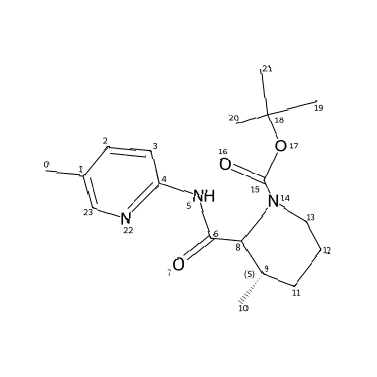 Cc1ccc(NC(=O)C2[C@@H](C)CCCN2C(=O)OC(C)(C)C)nc1